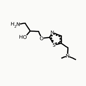 CN(C)Cc1cnc(OCC(O)CN)s1